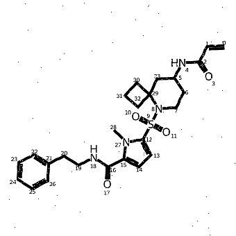 C=CC(=O)NC1CCN(S(=O)(=O)c2ccc(C(=O)NCCc3ccccc3)n2C)C2(CCC2)C1